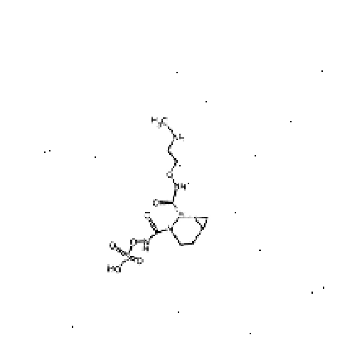 CNCCONC(=O)[C@@H]1C2CC2CCN1C(=O)NOS(=O)(=O)O